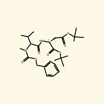 CC(C)C(C(=O)N[C@@H](CC(=O)OC(C)(C)C)C(=O)OC(C)(C)C)N(C)C(=O)OCc1ccccc1